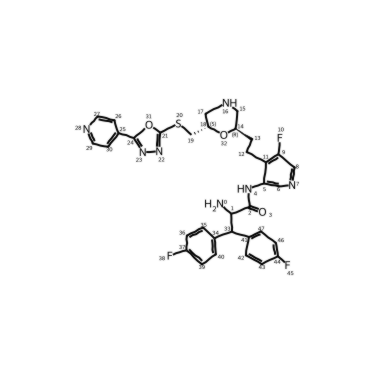 NC(C(=O)Nc1cncc(F)c1CC[C@@H]1CNC[C@@H](CSc2nnc(-c3ccncc3)o2)O1)C(c1ccc(F)cc1)c1ccc(F)cc1